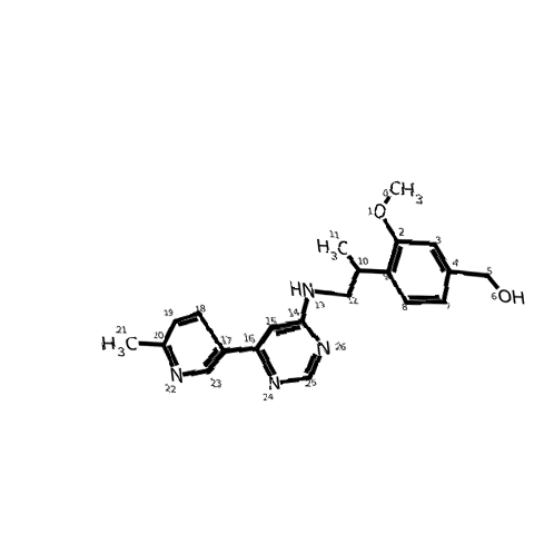 COc1cc(CO)ccc1C(C)CNc1cc(-c2ccc(C)nc2)ncn1